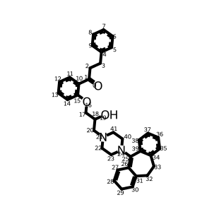 O=C(CCc1ccccc1)c1ccccc1OCC(O)CN1CCN(C2=C3C=CCC=C3CCc3ccccc32)CC1